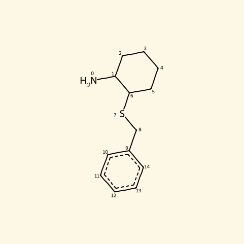 NC1CCCCC1SCc1ccccc1